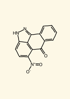 O=C1c2ccccc2-c2n[nH]c3ccc([N+](=O)[O-])c1c23